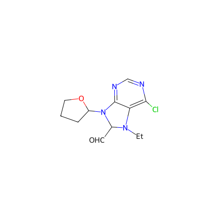 CCN1c2c(Cl)ncnc2N(C2CCCO2)C1C=O